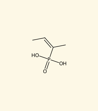 C/C=C(/C)P(=O)(O)O